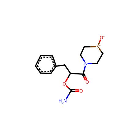 NC(=O)OC(Cc1ccccc1)C(=O)N1CC[S+]([O-])CC1